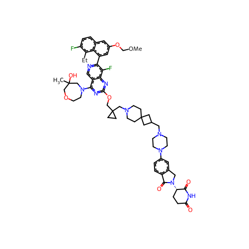 CCc1c(F)ccc2cc(OCOC)cc(-c3ncc4c(N5CCOCC(C)(O)C5)nc(OCC5(CN6CCC7(CC6)CC(CN6CCN(c8ccc9c(c8)CN([C@H]8CCC(=O)NC8=O)C9=O)CC6)C7)CC5)nc4c3F)c12